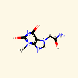 Cn1c2c(c(=O)[nH]c1=O)N(CC(N)=O)CN2